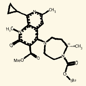 COC(=O)c1c(N2CC[C@H](C)N(C(=O)OC(C)(C)C)CC2)c2cc(C)nc(C3CC3)c2n(C)c1=O